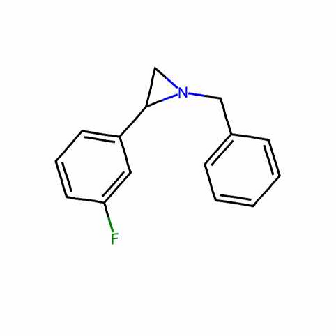 Fc1cccc(C2CN2Cc2ccccc2)c1